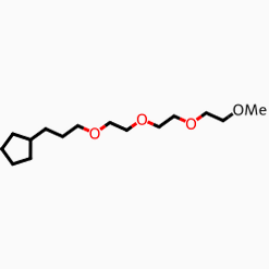 COCCOCCOCCOCCCC1CCCC1